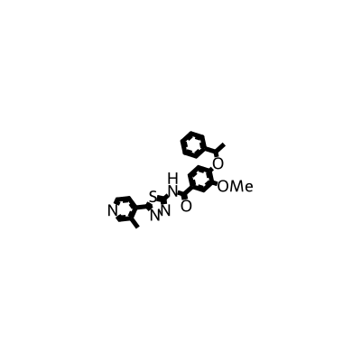 COc1cc(C(=O)Nc2nnc(-c3ccncc3C)s2)ccc1OC(C)c1ccccc1